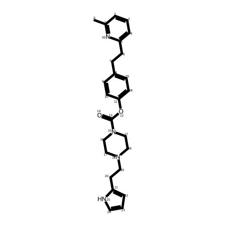 Cc1cccc(CCc2ccc(OC(=O)N3CCN(CCc4ccc[nH]4)CC3)cc2)n1